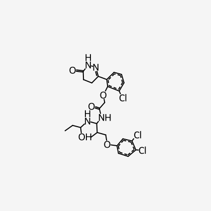 CCC(O)NC(NC(=O)COc1c(Cl)cccc1C1=NNC(=O)CC1)C(C)COc1ccc(Cl)c(Cl)c1